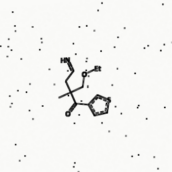 CCOCC(C)(CC=N)C(=O)c1ccsc1